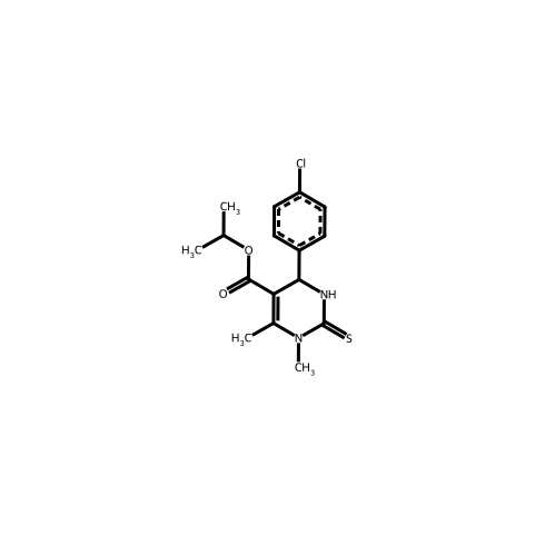 CC1=C(C(=O)OC(C)C)C(c2ccc(Cl)cc2)NC(=S)N1C